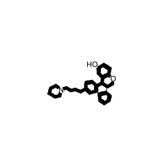 Oc1ccc2c(c1)C(c1ccc(CCCCN3CCCCC3)cc1)[C@@H](c1ccccc1)CO2